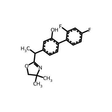 CC(C1=NC(C)(C)CO1)c1ccc(-c2ccc(F)cc2F)c(O)c1